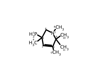 CC1=CC(C)(P)CN(C)C1(C)C